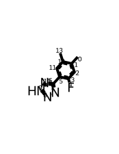 Cc1cc(F)c(-c2nn[nH]n2)cc1C